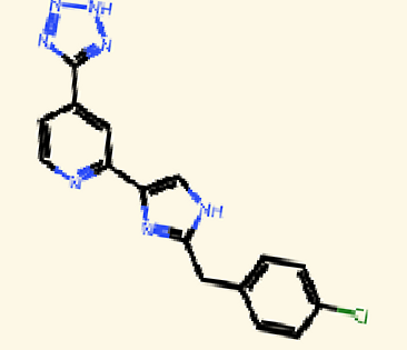 Clc1ccc(Cc2nc(-c3cc(-c4nn[nH]n4)ccn3)c[nH]2)cc1